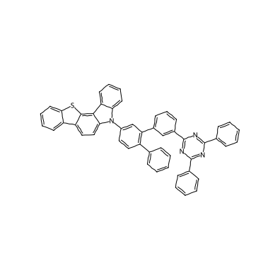 c1ccc(-c2nc(-c3ccccc3)nc(-c3cccc(-c4cc(-n5c6ccccc6c6c7sc8ccccc8c7ccc65)ccc4-c4ccccc4)c3)n2)cc1